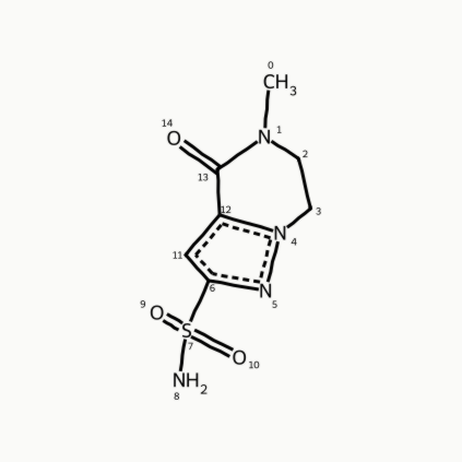 CN1CCn2nc(S(N)(=O)=O)cc2C1=O